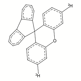 [2H]c1ccc2c(c1)Oc1cc([2H])ccc1C21c2ccccc2-c2ccccc21